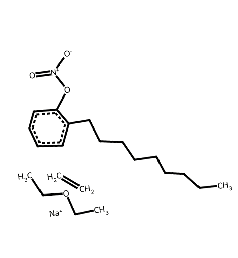 C=C.CCCCCCCCCc1ccccc1O[N+](=O)[O-].CCOCC.[Na+]